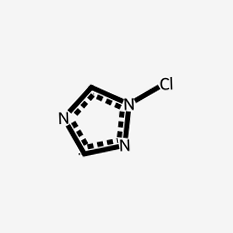 Cln1cn[c]n1